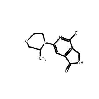 CC1COCCN1c1cc2c(c(Cl)n1)CNC2=O